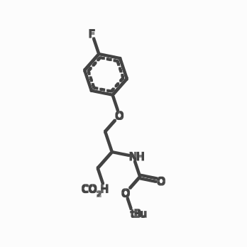 CC(C)(C)OC(=O)NC(COc1ccc(F)cc1)CC(=O)O